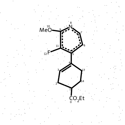 CCOC(=O)C1CC=C(c2ccnc(OC)c2F)CC1